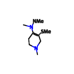 CNN(C)C1=C(SC)CN(C)CC1